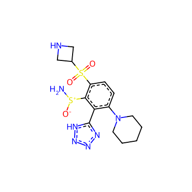 N[S+]([O-])c1c(S(=O)(=O)C2CNC2)ccc(N2CCCCC2)c1-c1nnn[nH]1